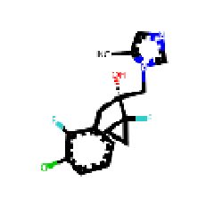 N#Cc1cncn1C[C@](O)(Cc1cccc(Cl)c1F)C1(F)CC1